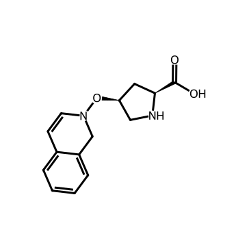 O=C(O)[C@@H]1C[C@H](ON2C=Cc3ccccc3C2)CN1